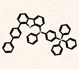 c1ccc(-c2ccc(-c3cccc4c3oc3c(N(c5ccccc5)c5ccc([Si](c6ccccc6)(c6ccccc6)c6ccccc6)cc5)cccc34)cc2)cc1